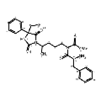 COC(=O)N(CCCC(C)N1C(=N)NC(CC(C)C)(c2ccccc2)C1=O)C(=O)[C@@H](N)Cc1ccccc1